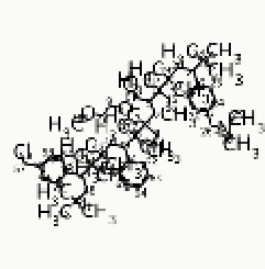 CCC(C)(CC(C(=O)OCCOC)C(C)(CC)C(C)(C)CC(c1ccc(CN(C)C)cc1)C(C)(C)C)C(C)(C)C(CC(C)(C)C(C)(C)C(CC(C)(C)C)c1ccc(CCl)cc1)c1ccccc1C